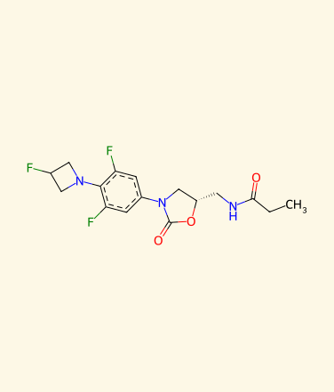 CCC(=O)NC[C@H]1CN(c2cc(F)c(N3CC(F)C3)c(F)c2)C(=O)O1